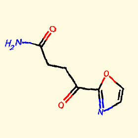 NC(=O)CCC(=O)c1ncco1